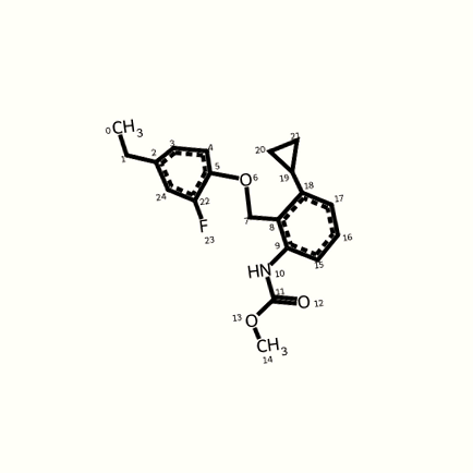 CCc1ccc(OCc2c(NC(=O)OC)cccc2C2CC2)c(F)c1